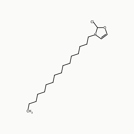 CCCCCCCCCCCCCCCCN1C=COC1Cl